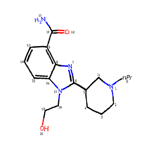 CCCN1CCCC(c2nc3c(C(N)=O)cccc3n2CCO)C1